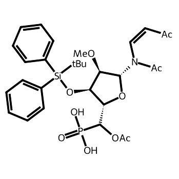 CO[C@@H]1[C@H](O[Si](c2ccccc2)(c2ccccc2)C(C)(C)C)[C@@H](C(OC(C)=O)P(=O)(O)O)O[C@H]1N(/C=C\C(C)=O)C(C)=O